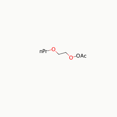 CCCOCCOOC(C)=O